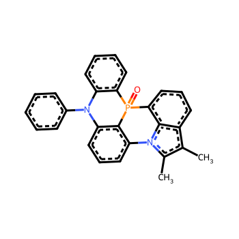 Cc1c(C)n2c3c(cccc13)P1(=O)c3ccccc3N(c3ccccc3)c3cccc-2c31